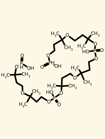 CC(C)(CCO[PH](=O)O)OCCC(C)(C)OP(=O)(O)OCCC(C)(C)OCCC(C)(C)OP(=O)(O)OCCC(C)(C)OCCC(C)(C)O[PH](=O)O